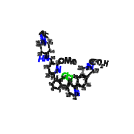 COc1nc(-c2cccc(-c3ccnc(-c4ccc5c(c4)CN(C(=O)O)C5)c3Cl)c2Cl)ccc1CNC1CCN(C(C)=O)CC1